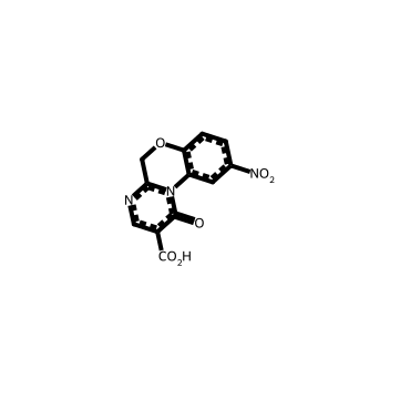 O=C(O)c1cnc2n(c1=O)-c1cc([N+](=O)[O-])ccc1OC2